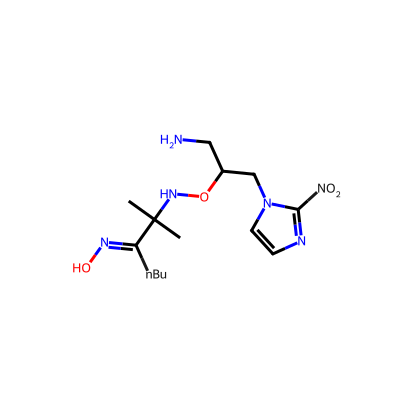 CCCCC(=NO)C(C)(C)NOC(CN)Cn1ccnc1[N+](=O)[O-]